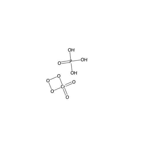 O=P(O)(O)O.[O]=[Cr]1(=[O])[O]O[O]1